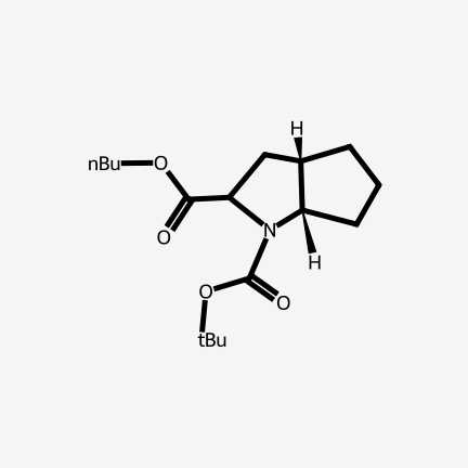 CCCCOC(=O)C1C[C@@H]2CCC[C@@H]2N1C(=O)OC(C)(C)C